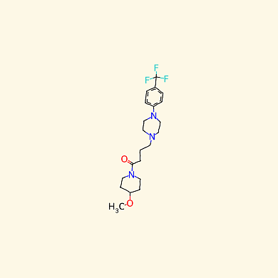 COC1CCN(C(=O)CCCN2CCN(c3ccc(C(F)(F)F)cc3)CC2)CC1